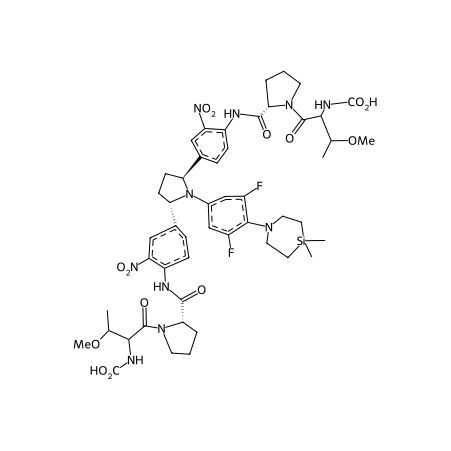 COC(C)C(NC(=O)O)C(=O)N1CCC[C@H]1C(=O)Nc1ccc([C@@H]2CC[C@@H](c3ccc(NC(=O)[C@@H]4CCCN4C(=O)C(NC(=O)O)C(C)OC)c([N+](=O)[O-])c3)N2c2cc(F)c(N3CC[Si](C)(C)CC3)c(F)c2)cc1[N+](=O)[O-]